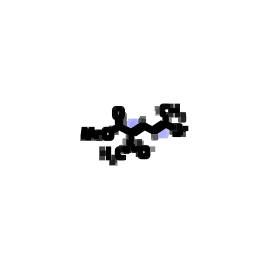 C=[N+]([O-])/C(=C\C=C(/C)Br)C(=O)OC